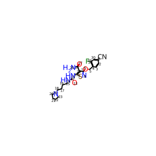 N#Cc1ccc(COc2nsc(NC(=O)NCCCCN3CCCC3)c2C(N)=O)c(F)c1